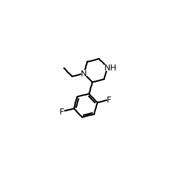 CCN1CCNCC1c1cc(F)ccc1F